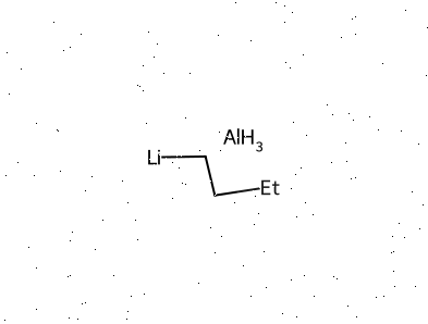 [AlH3].[Li][CH2]CCC